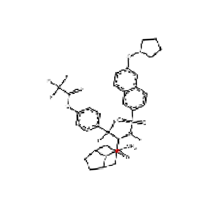 CN([C@@H](C(=O)N1C2CCC1CC(N)C2)C(F)(F)c1ccc(OC(=O)C(F)(F)F)cc1)S(=O)(=O)c1ccc2cc(OC3CCCC3)ccc2c1